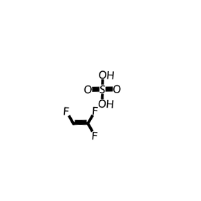 FC=C(F)F.O=S(=O)(O)O